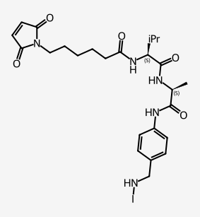 CC(C)[C@H](NC(=O)CCCCCN1C(=O)C=CC1=O)C(=O)N[C@@H](C)C(=O)Nc1ccc(CNI)cc1